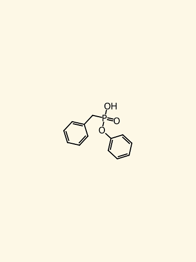 O=P(O)(Cc1ccccc1)Oc1ccccc1